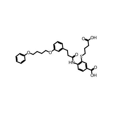 O=C(O)CCCSc1cc(C(=O)O)ccc1NC(=O)CCc1cccc(OCCCCOc2ccccc2)c1